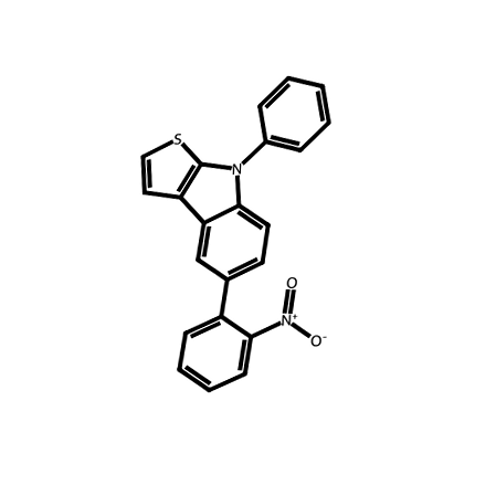 O=[N+]([O-])c1ccccc1-c1ccc2c(c1)c1ccsc1n2-c1ccccc1